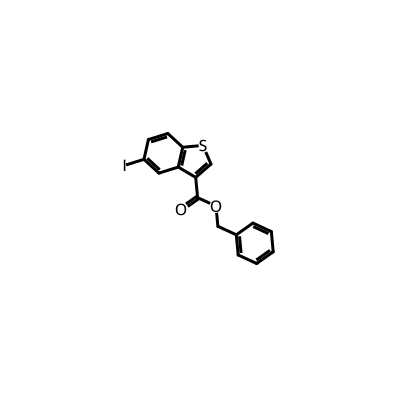 O=C(OCc1ccccc1)c1csc2ccc(I)cc12